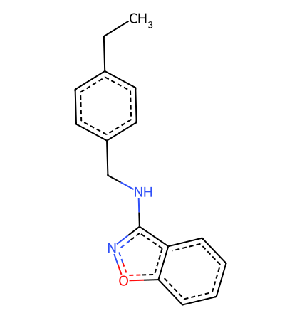 CCc1ccc(CNc2noc3ccccc23)cc1